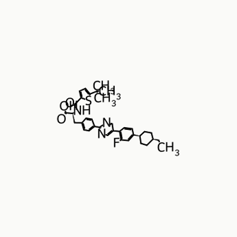 CC[C@H]1CC[C@@H](c2ccc(-c3cnc(-c4ccc(C[C@H](NC(=O)c5ccc(C(C)(C)C)s5)C(=O)O)cc4)nc3)c(F)c2)CC1